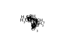 CCc1nc(C)c(C)c(O)c1/C=N/OC(C)C(C)Oc1ncc(C(F)(F)F)cc1Cl